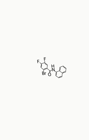 O=C(Nc1cccc2ccccc12)c1cc(F)c(F)cc1Br